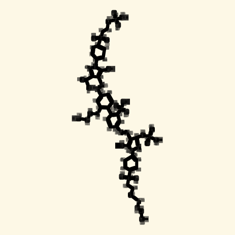 O=C(O)c1nn(-c2ccc(S(=O)(=O)CCOS(=O)(=O)O)cc2)c(O)c1/N=N/c1ccc(-c2ccc(/N=N/c3c(OS(=O)(=O)O)nn(-c4ccc(S(=O)(=O)CCOSOOO)cc4)c3O)cc2S(=O)(=O)O)c(SOOO)c1